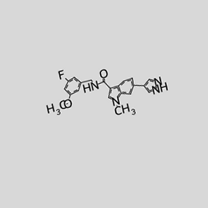 COc1cc(F)cc(CNC(=O)c2cn(C)c3cc(-c4cn[nH]c4)ccc23)c1